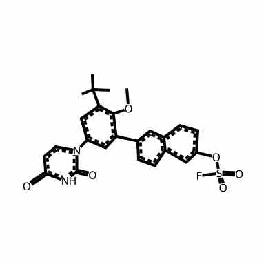 COc1c(-c2ccc3cc(OS(=O)(=O)F)ccc3c2)cc(-n2ccc(=O)[nH]c2=O)cc1C(C)(C)C